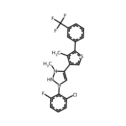 Cc1c(C2=CN(c3c(F)cccc3Cl)NN2C)csc1-c1cccc(C(F)(F)F)c1